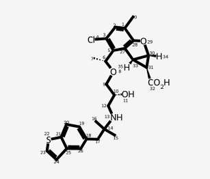 Cc1cc(Cl)c([C@@H](C)OC[C@H](O)CNC(C)(C)Cc2ccc3sccc3c2)c2c1O[C@@H]1[C@@H](C(=O)O)[C@H]21